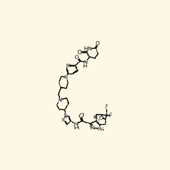 CC12Cc3[nH]nc(C(=O)Nc4cnn(C5CCN(CC6CCN(c7ccc(C(=O)NC8CCC(=O)NC8=O)nc7)CC6)CC5)c4)c3CC1C2(F)F